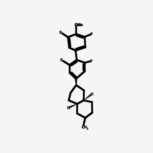 COc1c(F)cc(-c2c(F)cc([C@@H]3CC[C@@H]4CC(C)CC[C@@H]4C3)cc2F)cc1F